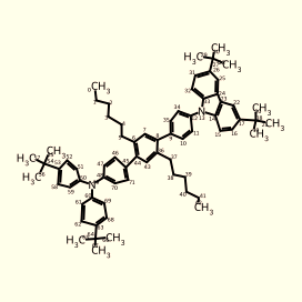 CCCCCCc1cc(-c2ccc(-n3c4ccc(C(C)(C)C)cc4c4cc(C(C)(C)C)ccc43)cc2)c(CCCCCC)cc1-c1ccc(N(c2ccc(C(C)(C)C)cc2)c2ccc(C(C)(C)C)cc2)cc1